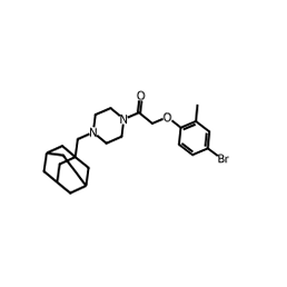 Cc1cc(Br)ccc1OCC(=O)N1CCN(CC23CC4CC(CC(C4)C2)C3)CC1